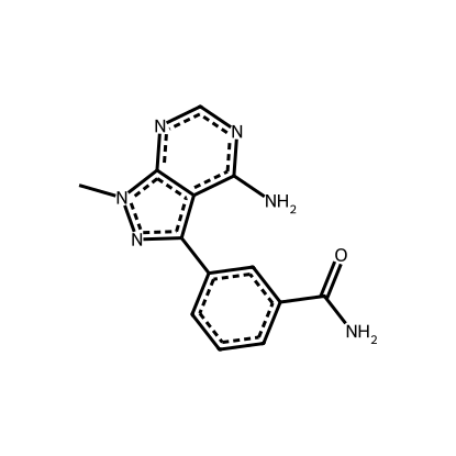 Cn1nc(-c2cccc(C(N)=O)c2)c2c(N)ncnc21